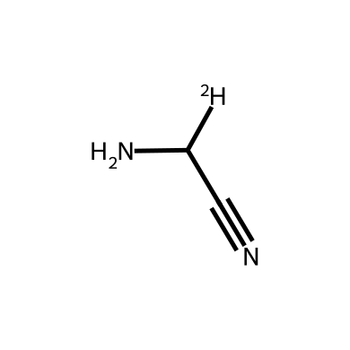 [2H]C(N)C#N